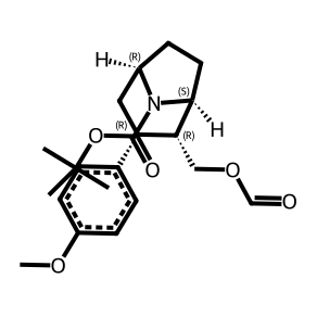 COc1ccc([C@@H]2C[C@H]3CC[C@@H]([C@@H]2COC=O)N3C(=O)OC(C)(C)C)cc1